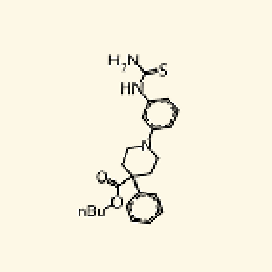 CCCCOC(=O)C1(c2ccccc2)CCN(c2cccc(NC(N)=S)c2)CC1